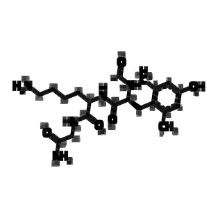 Cc1cc(O)cc(C)c1C[C@H](NC=O)C(=O)NC(CCCCN)C(=O)NCC(N)=O